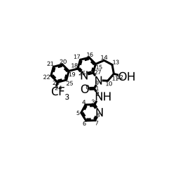 O=C(Nc1ccccn1)N1CC(O)CCc2ccc(-c3cccc(C(F)(F)F)c3)nc21